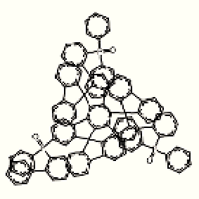 O=P(c1ccccc1)(c1ccc2c(c1)C1(c3ccccc3-c3ccccc31)c1c-2c2c(c3c1-c1ccc(P(=O)(c4ccccc4)c4ccccc4-c4ccccc4)cc1C31c3ccccc3-c3ccccc31)-c1ccc(P(=O)(c3ccccc3)c3ccccc3-c3ccccc3)cc1C21c2ccccc2-c2ccccc21)c1ccccc1-c1ccccc1